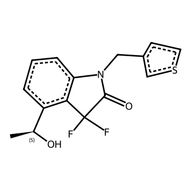 C[C@H](O)c1cccc2c1C(F)(F)C(=O)N2Cc1ccsc1